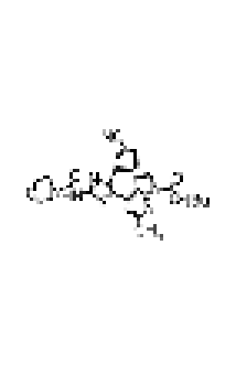 Cc1cc(-c2sc(NC(=O)N3CCOCC3)nc2-c2cccc(C#N)c2)c2ccn(C(=O)OC(C)(C)C)c2n1